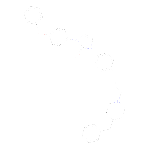 O=c1n(-c2ccc(OCCN3CCC(Cc4ccccc4)CC3)cc2)ccn1-c1ccc(Oc2ccccc2)cc1